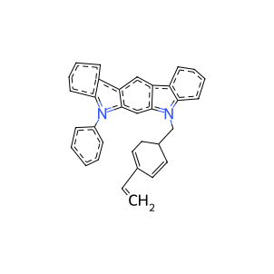 C=CC1=CCC(Cn2c3ccccc3c3cc4c5ccccc5n(-c5ccccc5)c4cc32)C=C1